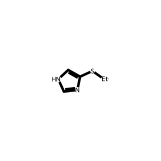 C[CH]Sc1c[nH]cn1